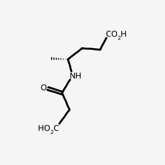 C[C@H](CCC(=O)O)NC(=O)CC(=O)O